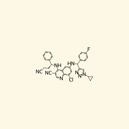 N#CCC[C@H](Nc1c(C#N)cnc2c(Cl)cc(NC(c3ccc(F)cc3)c3cn(C4CC4)nn3)cc12)c1ccccc1